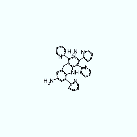 Nc1cc2c(c(-c3ccccn3)c1)Nc1c(c(-c3ccccn3)c(N)c(-c3ccccn3)c1-c1ccccn1)C2